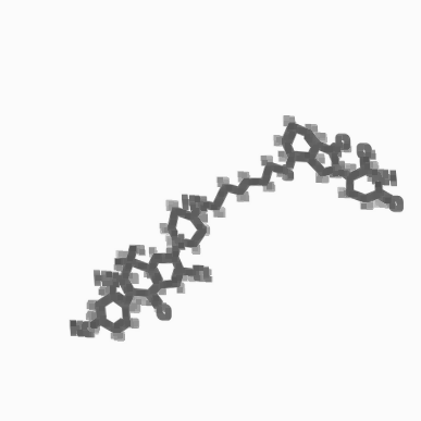 CCc1cc2c(cc1N1CCC(NCCCCCCSc3cccc4c3CN(C3CCC(=O)NC3=O)C4=O)CC1)C(C)(C)c1[nH]c3cc(C#N)ccc3c1C2=O